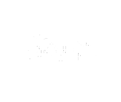 CCCCC(NC(=O)C1[C@@H]2[C@H](CN1C(=O)[C@@H](C)C(C)(C)C)C2(C)C)C(=O)C(=O)NCC(=O)N[C@H](C(=O)N(C)C)c1ccccc1